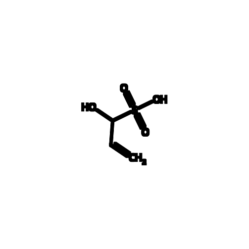 C=CC(O)S(=O)(=O)O